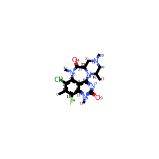 Cc1c(Cl)c2c3c(nc(=O)n(C)c3c1F)N1C(C)CN(C)CC1C(=O)N2C